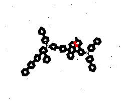 CC1C=CC(c2cc(N(c3ccc(-c4ccccc4)cc3)c3ccc(-c4ccccc4)cc3)ccc2-c2c3ccccc3c(-c3ccc(-c4ccc(N(c5ccc(-c6ccccc6)cc5)c5ccc(-c6ccc(-c7ccc(-c8ccccc8)cc7)cc6)c(-c6ccccc6)c5)cc4)cc3)c3ccccc23)=CC1